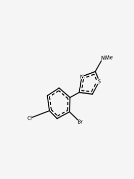 CNc1nc(-c2ccc(Cl)cc2Br)cs1